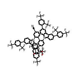 N#Cc1ccc(-c2cc(-c3c(C(F)(F)F)cccc3C(F)(F)F)ccc2-n2c3ccc(-c4ccc(C(F)(F)F)cc4C(F)(F)F)cc3c3cc(-c4ccc(C(F)(F)F)cc4C(F)(F)F)ccc32)c(-n2c3ccc(-c4ccc(C(F)(F)F)cc4C(F)(F)F)cc3c3cc(-c4ccc(C(F)(F)F)cc4C(F)(F)F)ccc32)c1